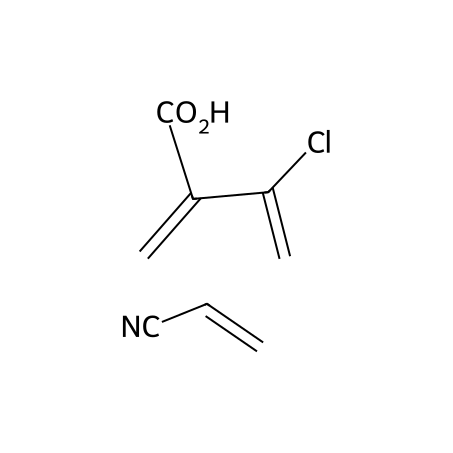 C=C(Cl)C(=C)C(=O)O.C=CC#N